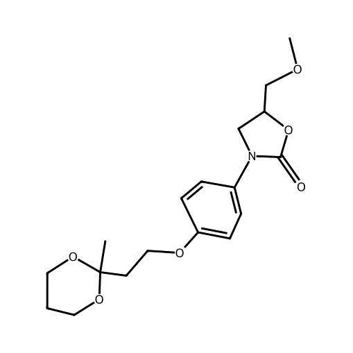 COCC1CN(c2ccc(OCCC3(C)OCCCO3)cc2)C(=O)O1